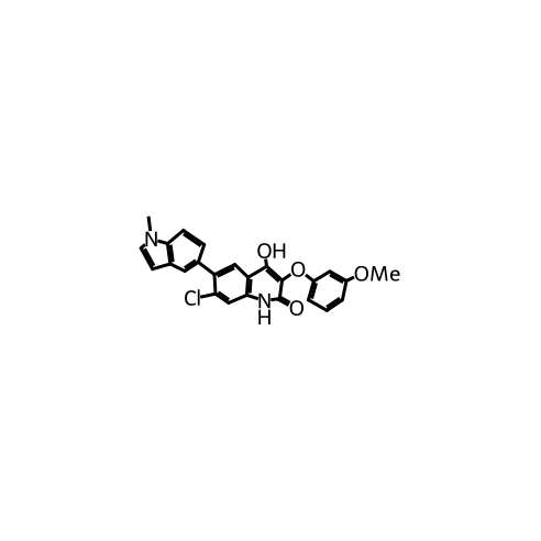 COc1cccc(Oc2c(O)c3cc(-c4ccc5c(ccn5C)c4)c(Cl)cc3[nH]c2=O)c1